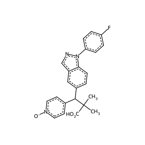 CC(C)(C(=O)O)C(c1cc[n+]([O-])cc1)c1ccc2c(cnn2-c2ccc(F)cc2)c1